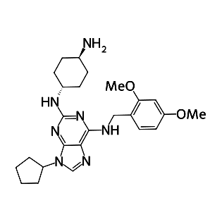 COc1ccc(CNc2nc(N[C@H]3CC[C@H](N)CC3)nc3c2ncn3C2CCCC2)c(OC)c1